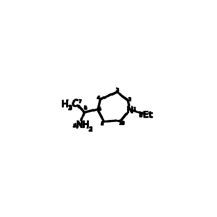 CCN1CCCC(C(C)N)CC1